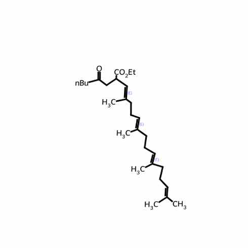 CCCCC(=O)CC(/C=C(\C)CC/C=C(\C)CC/C=C(\C)CCC=C(C)C)C(=O)OCC